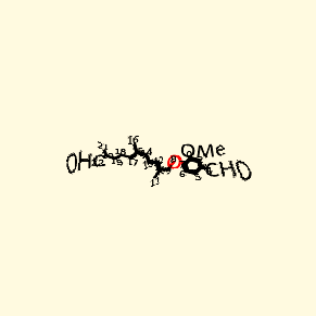 COc1cc(C=O)ccc1OCC(C)=CCCC(C)CCCC(C)C=O